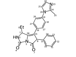 CCC1NC(=O)N2C(=O)C(c3ccccc3)C(c3ccc(-n4ccnc4C)cc3)=C12